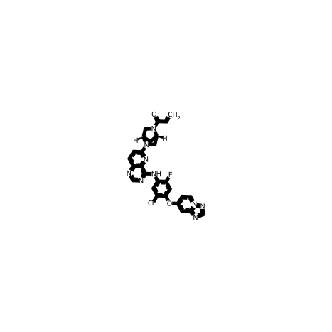 C=CC(=O)N1C[C@@H]2C[C@H]1CN2c1ccc2ncnc(Nc3cc(Cl)c(Oc4ccn5ncnc5c4)cc3F)c2n1